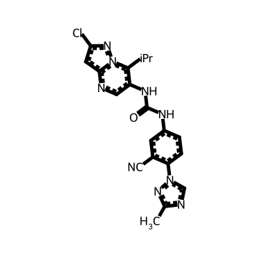 Cc1ncn(-c2ccc(NC(=O)Nc3cnc4cc(Cl)nn4c3C(C)C)cc2C#N)n1